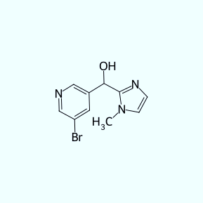 Cn1ccnc1C(O)c1cncc(Br)c1